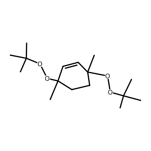 CC(C)(C)OOC1(C)C=CC(C)(OOC(C)(C)C)CC1